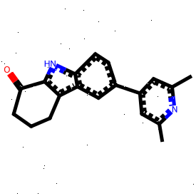 Cc1cc(-c2ccc3[nH]c4c(c3c2)CCCC4=O)cc(C)n1